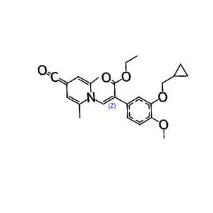 CCOC(=O)/C(=C\N1C(C)=CC(=C=O)C=C1C)c1ccc(OC)c(OCC2CC2)c1